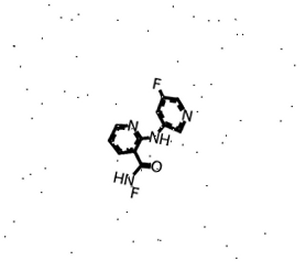 O=C(NF)c1cccnc1Nc1cncc(F)c1